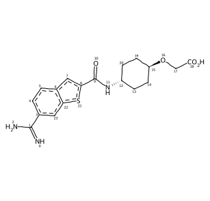 N=C(N)c1ccc2cc(C(=O)N[C@H]3CC[C@H](OCC(=O)O)CC3)sc2c1